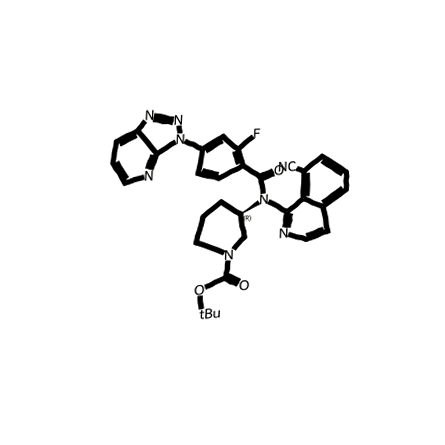 CC(C)(C)OC(=O)N1CCC[C@@H](N(C(=O)c2ccc(-n3nnc4cccnc43)cc2F)c2nccc3cccc(C#N)c23)C1